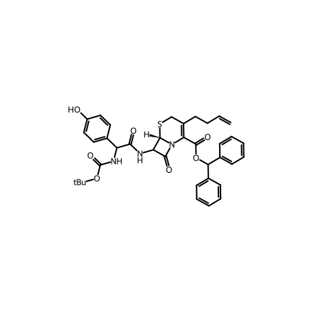 C=CCCC1=C(C(=O)OC(c2ccccc2)c2ccccc2)N2C(=O)C(NC(=O)C(NC(=O)OC(C)(C)C)c3ccc(O)cc3)[C@@H]2SC1